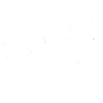 CC(C)N(CC1CCN(c2ccc(C(=O)N[C@H]3C(C)(C)[C@H](Oc4ccc(C#N)c5ncccc45)C3(C)C)cn2)CC1)[C@H]1C[C@H](Oc2ccc3c(c2)C(=O)N(C2CCC(=O)NC2=O)C3=O)C1